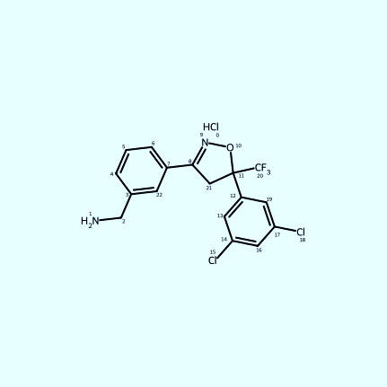 Cl.NCc1cccc(C2=NOC(c3cc(Cl)cc(Cl)c3)(C(F)(F)F)C2)c1